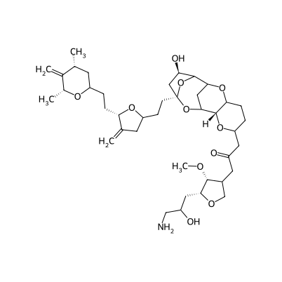 C=C1CC(CC[C@]23C[C@@H](O)C(O2)C2CC(O3)[C@H]3OC(CC(=O)CC4CO[C@H](CC(O)CN)[C@@H]4OC)CCC3O2)O[C@H]1CCC1C[C@@H](C)C(=C)[C@@H](C)O1